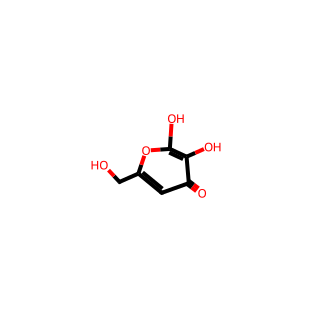 O=c1cc(CO)oc(O)c1O